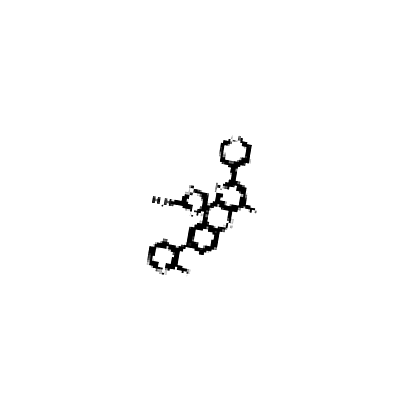 NC1=NC2(CO1)c1cc(-c3cccnc3F)ccc1Oc1c(F)cc(C3=CCOCC3)nc12